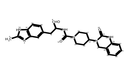 Cc1nc2cc(CC(C=O)NC(=O)N3CCC(N4Cc5ccccc5NC4=O)CC3)ccc2[nH]1